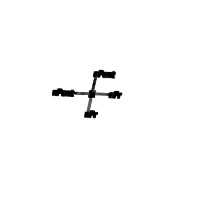 CCCCC[Si](CCC)(CCC)CCCCC